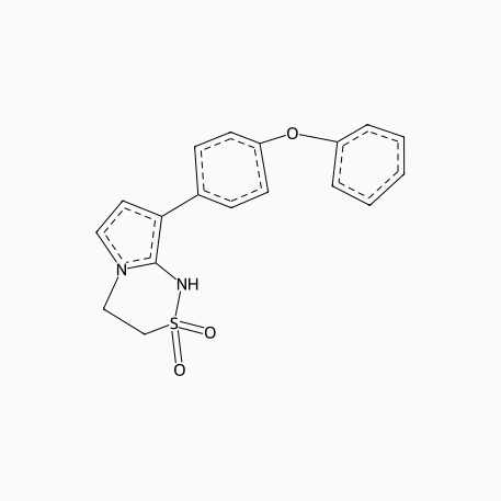 O=S1(=O)CCn2ccc(-c3ccc(Oc4ccccc4)cc3)c2N1